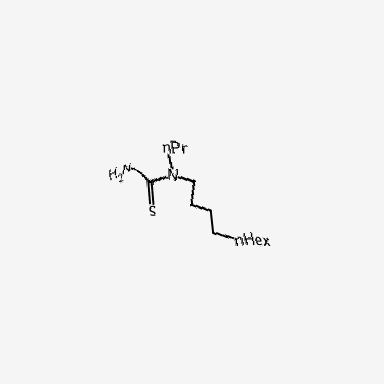 CCCCCCCCCCN(CCC)C(N)=S